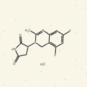 CC1=Nc2cc(F)cc(F)c2CN1C1CC(=O)NC1=O.Cl